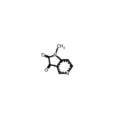 CN1C(=O)C(=O)c2cnccc21